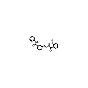 O=C(Nc1ccccc1)c1cccc(/C=N/NC(=O)c2ccccc2O)c1